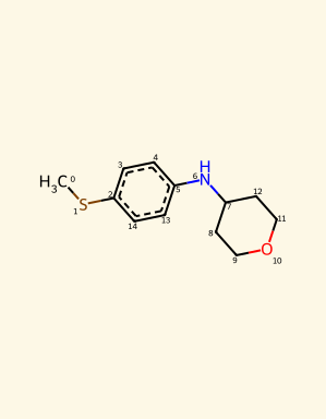 CSc1ccc(NC2CCOCC2)cc1